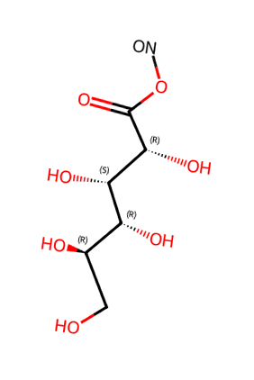 O=NOC(=O)[C@H](O)[C@@H](O)[C@H](O)[C@H](O)CO